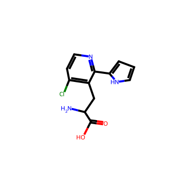 NC(Cc1c(Cl)ccnc1-c1ccc[nH]1)C(=O)O